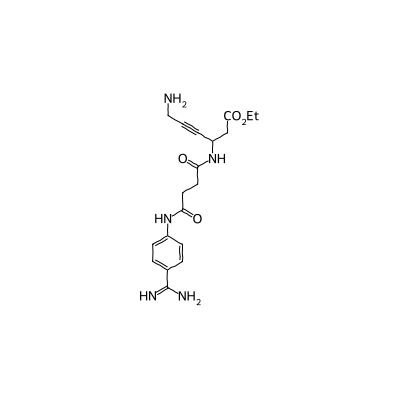 CCOC(=O)CC(C#CCN)NC(=O)CCC(=O)Nc1ccc(C(=N)N)cc1